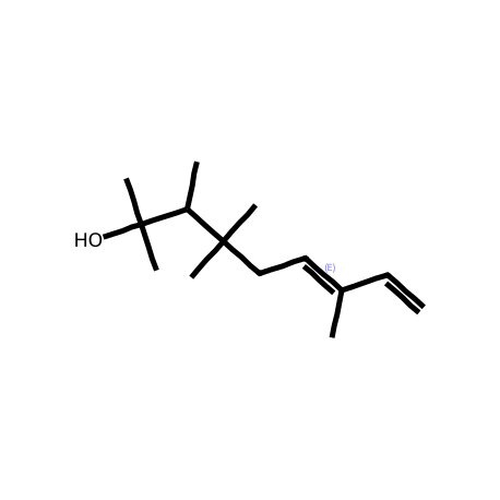 C=C/C(C)=C/CC(C)(C)C(C)C(C)(C)O